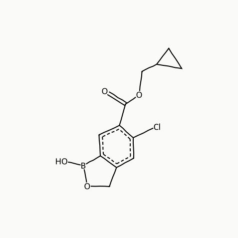 O=C(OCC1CC1)c1cc2c(cc1Cl)COB2O